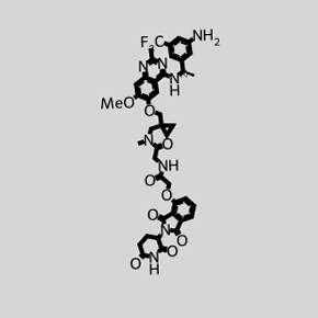 COc1cc2nc(C)nc(N[C@H](C)c3cc(N)cc(C(F)(F)F)c3)c2cc1OCC1(CN(C)C(=O)CNC(=O)COc2cccc3c2C(=O)N(C2CCC(=O)NC2=O)C3=O)CC1